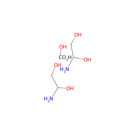 NC(O)CO.NC(O)CO.O=C(O)O